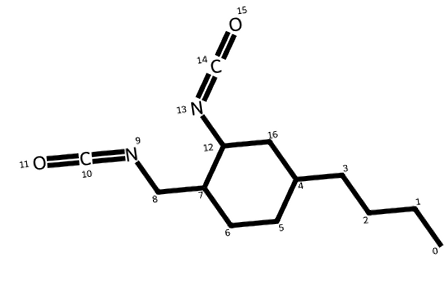 CCCCC1CCC(CN=C=O)C(N=C=O)C1